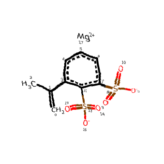 C=C(C)c1cccc(S(=O)(=O)[O-])c1S(=O)(=O)[O-].[Mg+2]